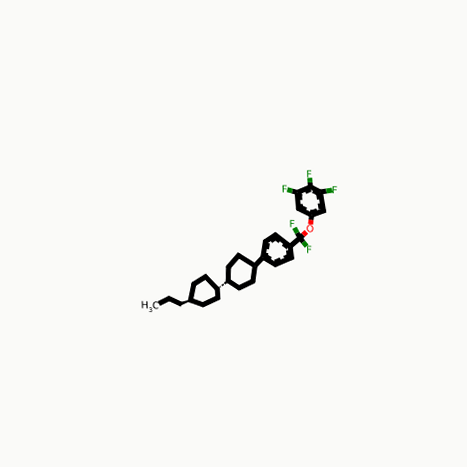 CCC[C@H]1CC[C@H](C2CCC(c3ccc(C(F)(F)Oc4cc(F)c(F)c(F)c4)cc3)CC2)CC1